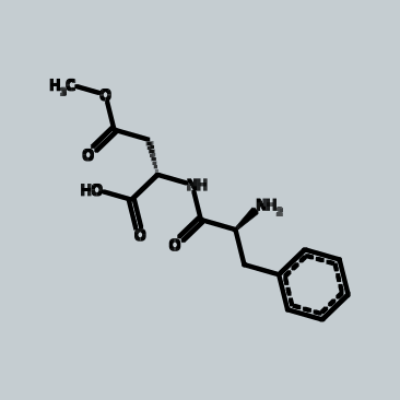 COC(=O)C[C@H](NC(=O)[C@@H](N)Cc1ccccc1)C(=O)O